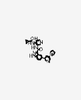 O=C(Nc1cnccc1NC(O)C1CC1)c1n[nH]c2ccc(-c3cncc(N4CCCC4)c3)cc12